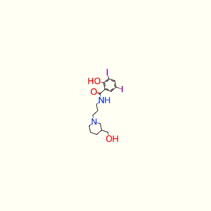 O=C(NCCCN1CCCC(CO)C1)c1cc(I)cc(I)c1O